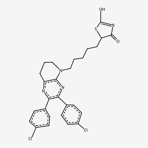 O=C1N=C(O)SC1CCCCCN1CCCc2nc(-c3ccc(Cl)cc3)c(-c3ccc(Cl)cc3)nc21